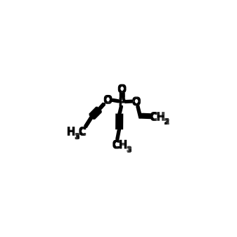 C=COP(=O)(C#CC)OC#CC